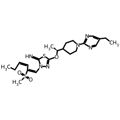 CC/C=C\C(=C/n1nc(O[C@@H](C)C2CCN(c3ncc(CC)cn3)CC2)sc1=N)S(C)(=O)=O